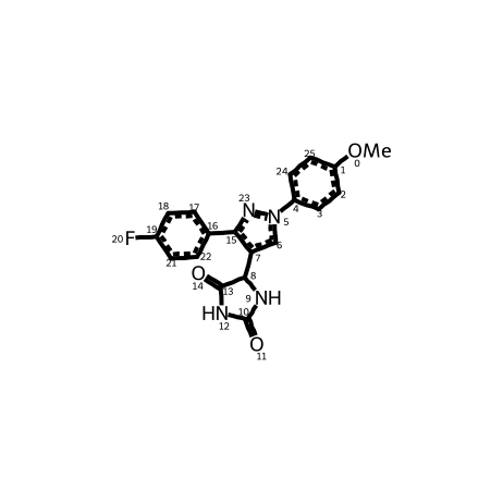 COc1ccc(-n2cc(C3NC(=O)NC3=O)c(-c3ccc(F)cc3)n2)cc1